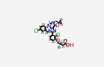 CC1(Oc2ncnc3c2nc(-c2cccc(OCC(F)(F)CC(=O)O)c2Cl)n3Cc2cccc(Cl)c2)CC1